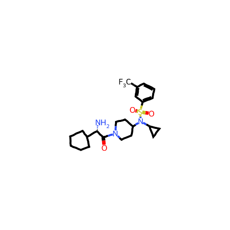 N[C@H](C(=O)N1CCC(N(C2CC2)S(=O)(=O)c2cccc(C(F)(F)F)c2)CC1)C1CCCCC1